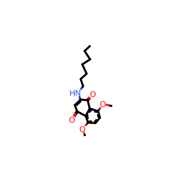 CCCCCCCNC1=CC(=O)c2c(OC)ccc(OC)c2C1=O